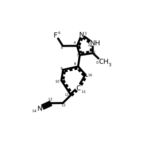 Cc1[nH]nc(CF)c1-c1ccc(CC#N)cc1